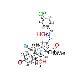 COC(=O)[C@H]1[C@H](CN(O)Cc2ccc(Cl)cc2)CC2[C@@H]3C[C@H](F)C4=CC(=O)C=C[C@]4(C)[C@@]3(F)[C@@H](O)C[C@@]21C